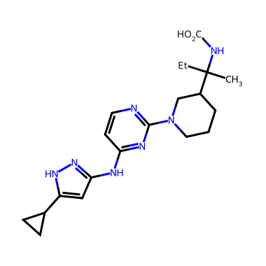 CCC(C)(NC(=O)O)C1CCCN(c2nccc(Nc3cc(C4CC4)[nH]n3)n2)C1